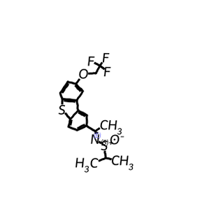 C/C(=N\[S@+]([O-])C(C)C)c1ccc2sc3ccc(OCC(F)(F)F)cc3c2c1